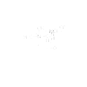 C[N+](C)(C)CC1CO1.Cl.N.[Cl-]